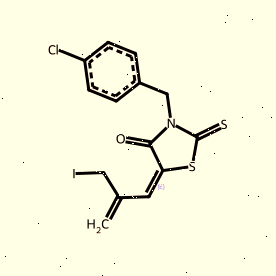 C=C(/C=C1/SC(=S)N(Cc2ccc(Cl)cc2)C1=O)CI